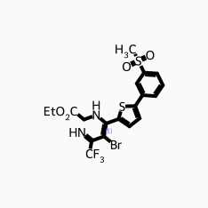 CCOC(=O)CN/C(=C(/Br)C(=N)C(F)(F)F)c1ccc(-c2cccc(S(C)(=O)=O)c2)s1